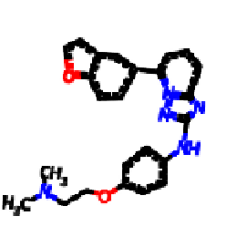 CN(C)CCOc1ccc(Nc2nc3cccc(-c4ccc5occc5c4)n3n2)cc1